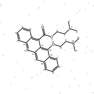 CN(C)CCOC(=O)c1c2ccccc2nc2cc3ccccc3c(OCCN(C)C)c12